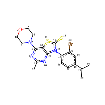 Cc1nc(N2CCOCC2)c2sc(=S)n(-c3ccc(C(C)C)cc3Br)c2n1